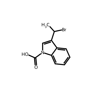 CC(Br)c1cn(C(=O)O)c2ccccc12